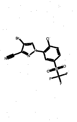 N#Cc1nn(-c2cc(S(=O)(=O)C(F)(F)F)c[c]c2Cl)cc1Br